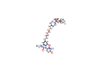 Cn1c(=O)n(C2CCC(=O)NC2=O)c2ccc(CCCOCCOCCC3CCN(C(=O)OC(C)(C)C)CC3)cc21